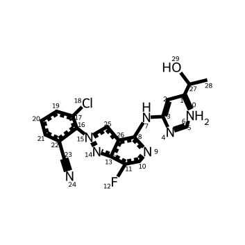 C=C(/C=C(\N=C/N)Nc1ncc(F)c2nn(-c3c(Cl)cccc3C#N)cc12)C(C)O